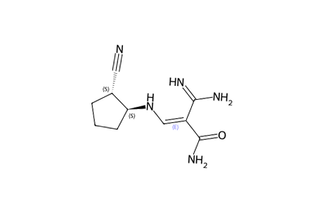 N#C[C@H]1CCC[C@@H]1N/C=C(\C(=N)N)C(N)=O